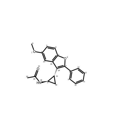 COc1ccc2oc(-c3ccccc3)c([C@@H]3C[C@H]3NC(C)=O)c2c1